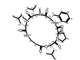 CC(C)C[C@@H]1OC(=O)CCNC(=O)[C@H](CC(C)C)N(C)C(=O)[C@H](C(C)C)N(C)C(=O)[C@H](Cc2ccccc2)NC(=O)[C@@H]2CCCN2C1=O